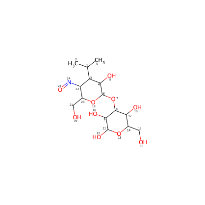 CC(C)C1C(O)C(OC2C(O)C(O)OC(CO)C2O)OC(CO)C1N=O